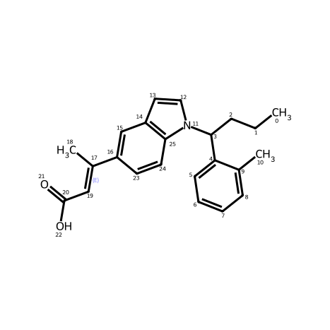 CCCC(c1ccccc1C)n1ccc2cc(/C(C)=C/C(=O)O)ccc21